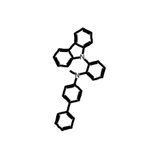 CN(c1ccc(-c2ccccc2)cc1)c1ccccc1-n1c2ccccc2c2ccccc21